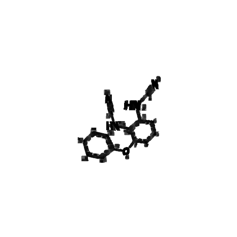 N#CNc1cccc(Oc2ccccc2)c1NC#N